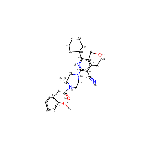 COc1ccccc1CC(=O)N1CCN(c2nc(C3CCCCC3)c3c(c2C#N)CCOC3)C[C@H]1C